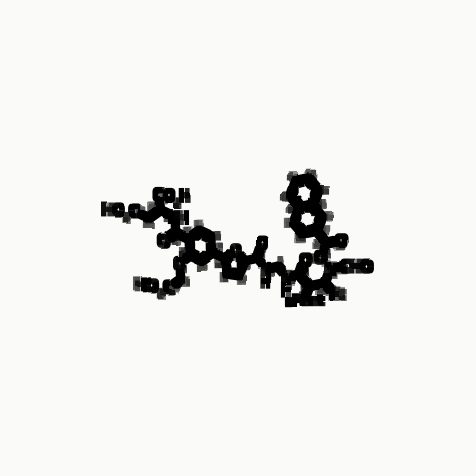 CCCCCC(C(=O)NCNC(=O)c1ccc(-c2ccc(C(=O)NC(CC(=O)O)C(=O)O)c(OCC(=O)O)c2)o1)C(CC)N(C=O)OC(=O)c1ccc2ccccc2c1